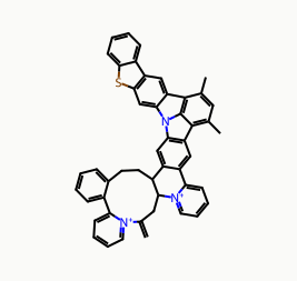 C=C1CC2C(CCc3ccccc3-c3cccc[n+]31)c1cc3c(cc1-c1cccc[n+]12)c1c(C)cc(C)c2c4cc5c(cc4n3c12)sc1ccccc15